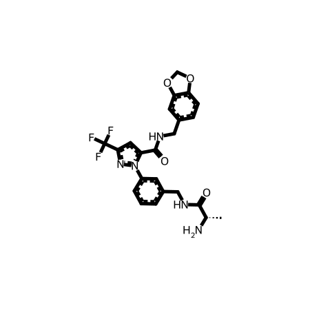 C[C@H](N)C(=O)NCc1cccc(-n2nc(C(F)(F)F)cc2C(=O)NCc2ccc3c(c2)OCO3)c1